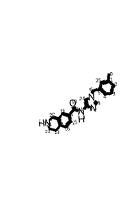 Cc1cccc(Cn2cnc(NC(=O)c3ccc4c(c3)CNCC4)c2)c1